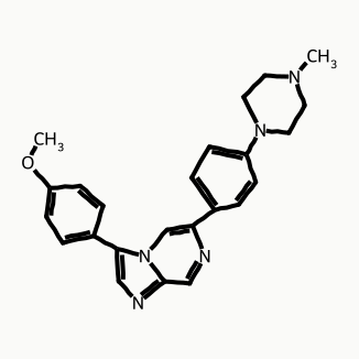 COc1ccc(-c2cnc3cnc(-c4ccc(N5CCN(C)CC5)cc4)cn23)cc1